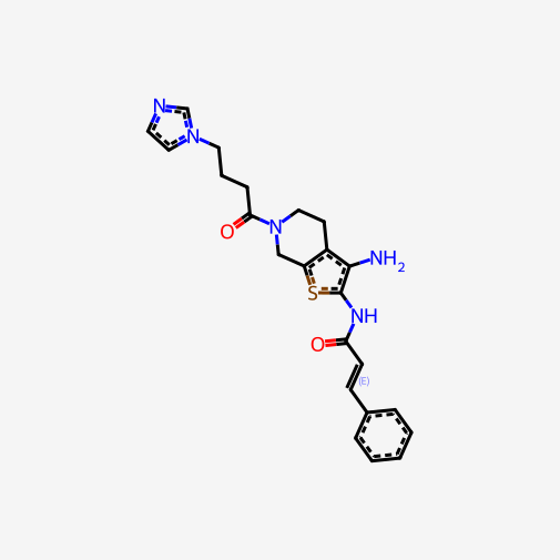 Nc1c(NC(=O)/C=C/c2ccccc2)sc2c1CCN(C(=O)CCCn1ccnc1)C2